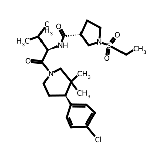 CCS(=O)(=O)N1CC[C@@H](C(=O)N[C@@H](C(=O)N2CC[C@H](c3ccc(Cl)cc3)C(C)(C)C2)C(C)C)C1